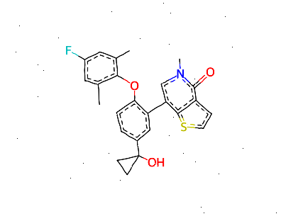 Cc1cc(F)cc(C)c1Oc1ccc(C2(O)CC2)cc1-c1cn(C)c(=O)c2ccsc12